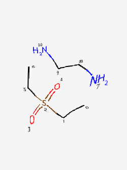 CCS(=O)(=O)CC.NCCN